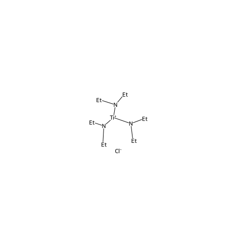 CC[N](CC)[Ti+]([N](CC)CC)[N](CC)CC.[Cl-]